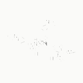 COC(=O)C1=C(S[C@H]2C[C@@H](CC(C)(C)NC(=O)OCc3ccc([N+](=O)[O-])cc3)N(C(=O)OCc3ccc([N+](=O)[O-])cc3)C2)C[C@H]2CC(=O)N12